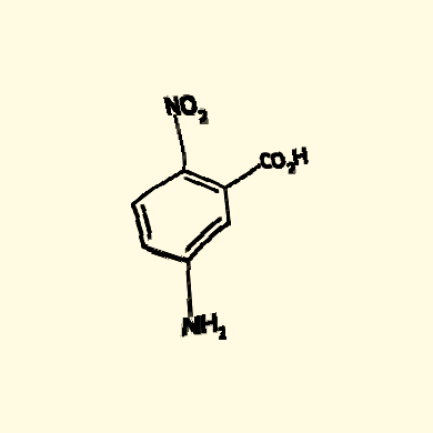 Nc1ccc([N+](=O)[O-])c(C(=O)O)c1